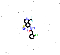 NSc1cc(NC(=O)Cc2ccccc2Cl)cc2c(C(F)F)nccc12